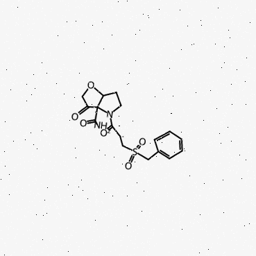 NC(=O)C12C(=O)COC1CCN2C(=O)[CH]CS(=O)(=O)Cc1ccccc1